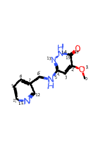 COc1cc(NCc2cccnc2)n[nH]c1=O